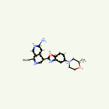 CNc1ncc(-c2nc3cc(N4CCO[C@@H](C)C4)ccc3o2)c2cc(N)ncc12